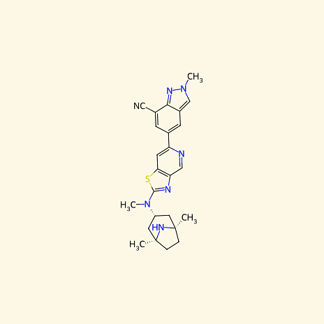 CN(c1nc2cnc(-c3cc(C#N)c4nn(C)cc4c3)cc2s1)[C@H]1C[C@]2(C)CC[C@](C)(C1)N2